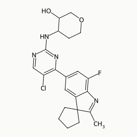 CC1=Nc2c(F)cc(-c3nc(NC4CCOCC4O)ncc3Cl)cc2C12CCCC2